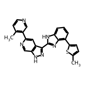 Cc1ccc(-c2cccc3[nH]c(-c4n[nH]c5cnc(-c6cnccc6C)cc45)nc23)s1